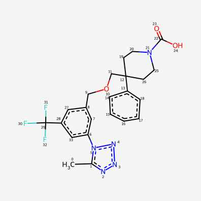 Cc1nnnn1-c1cc(COCC2(c3ccccc3)CCN(C(=O)O)CC2)cc(C(F)(F)F)c1